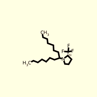 CCCCCCCC(CCCCCCC)N1CCC[C@H]1C(F)(F)F